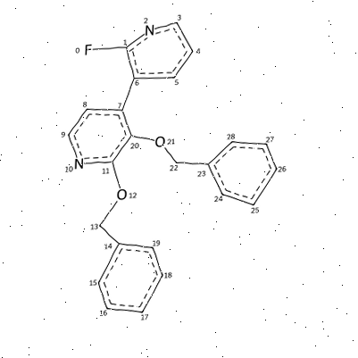 Fc1ncccc1-c1ccnc(OCc2ccccc2)c1OCc1ccccc1